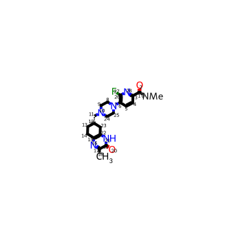 CNC(=O)c1ccc(N2CCN(C[C@H]3CCc4nc(C)c(=O)[nH]c4C3)CC2)c(F)n1